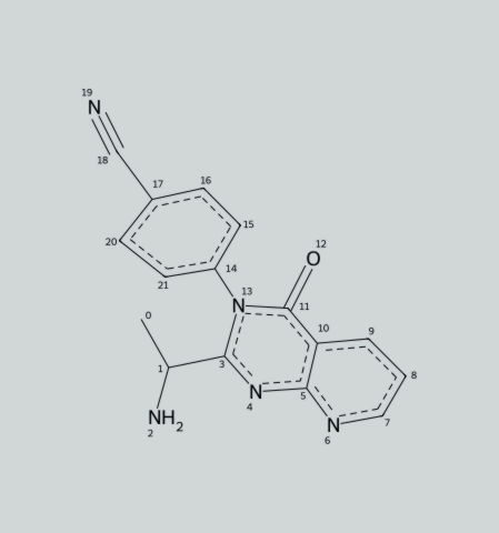 CC(N)c1nc2ncccc2c(=O)n1-c1ccc(C#N)cc1